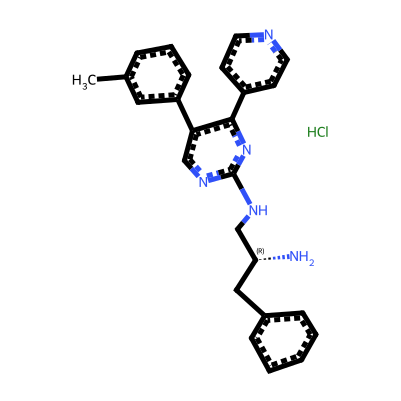 Cc1cccc(-c2cnc(NC[C@H](N)Cc3ccccc3)nc2-c2ccncc2)c1.Cl